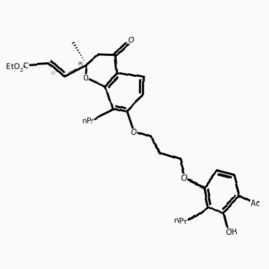 CCCc1c(OCCCOc2ccc3c(c2CCC)O[C@@](C)(/C=C/C(=O)OCC)CC3=O)ccc(C(C)=O)c1O